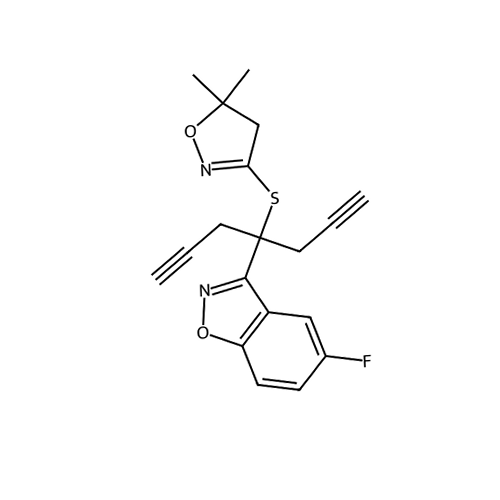 C#CCC(CC#C)(SC1=NOC(C)(C)C1)c1noc2ccc(F)cc12